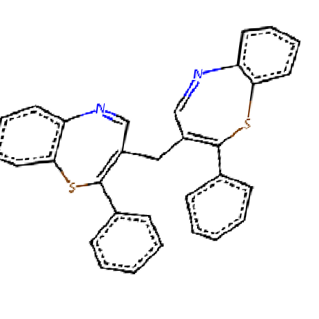 C1=Nc2ccccc2SC(c2ccccc2)=C1CC1=C(c2ccccc2)Sc2ccccc2N=C1